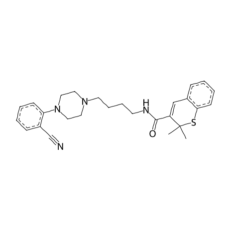 CC1(C)Sc2ccccc2C=C1C(=O)NCCCCN1CCN(c2ccccc2C#N)CC1